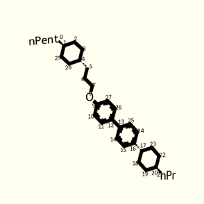 CCCCC[C@H]1CC[C@H](CCCOc2ccc(-c3ccc([C@H]4CC[C@H](CCC)CC4)cc3)cc2)CC1